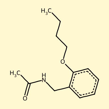 CCCCOc1ccccc1CNC(C)=O